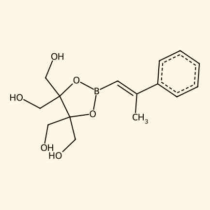 C/C(=C\B1OC(CO)(CO)C(CO)(CO)O1)c1ccccc1